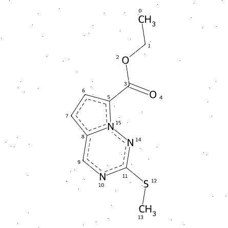 CCOC(=O)c1ccc2cnc(SC)nn12